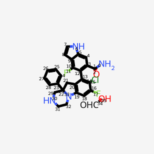 NC(=O)c1cc2[nH]ccc2c(F)c1-c1c(Cl)c(F)cc2c1CC1(c3ccccc3)CNCCN21.O=CO